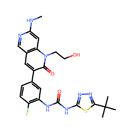 CNc1cc2c(cn1)cc(-c1ccc(F)c(NC(=O)Nc3nnc(C(C)(C)C)s3)c1)c(=O)n2CCO